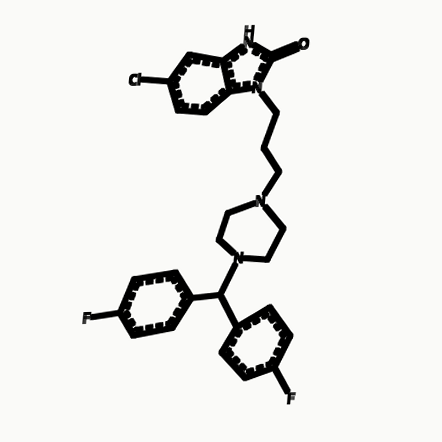 O=c1[nH]c2cc(Cl)ccc2n1CCCN1CCN(C(c2ccc(F)cc2)c2ccc(F)cc2)CC1